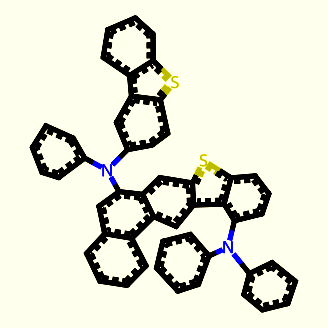 c1ccc(N(c2ccc3sc4ccccc4c3c2)c2cc3ccccc3c3cc4c(cc23)sc2cccc(N(c3ccccc3)c3ccccc3)c24)cc1